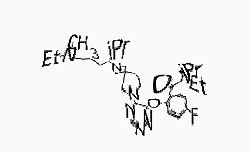 CCN(C)CCC[C@H](C(C)C)N1CC2(CCN(c3ncnnc3Oc3ccc(F)cc3C(=O)N(CC)C(C)C)C2)C1